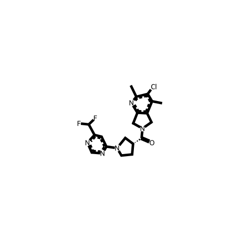 Cc1nc2c(c(C)c1Cl)CN(C(=O)[C@@H]1CCN(c3cc(C(F)F)ncn3)C1)C2